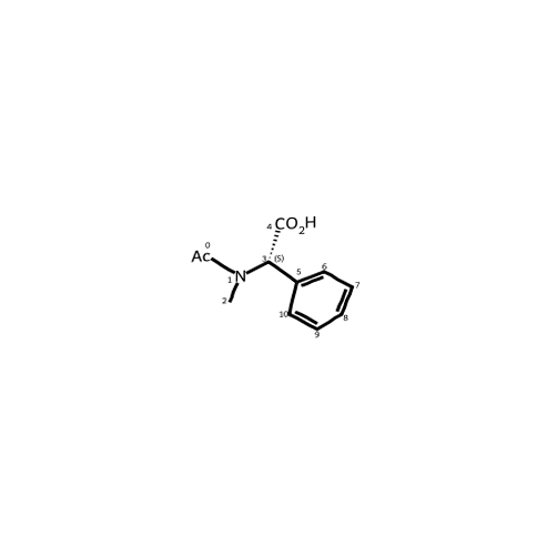 CC(=O)N(C)[C@H](C(=O)O)c1ccccc1